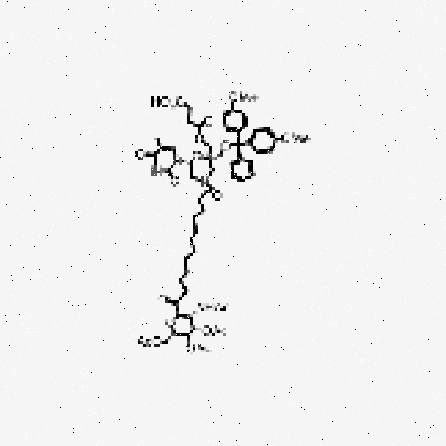 COc1ccc(C(OC[C@]2(COC(=O)CCC(=O)O)CN(C(=O)CCCCCCCCCCC(=O)[C@@H]3O[C@H](COC(C)=O)[C@H](OC(C)=O)[C@H](OC(C)=O)[C@H]3NC(C)=O)C[C@H](n3cc(C)c(=O)[nH]c3=O)O2)(c2ccccc2)c2ccc(OC)cc2)cc1